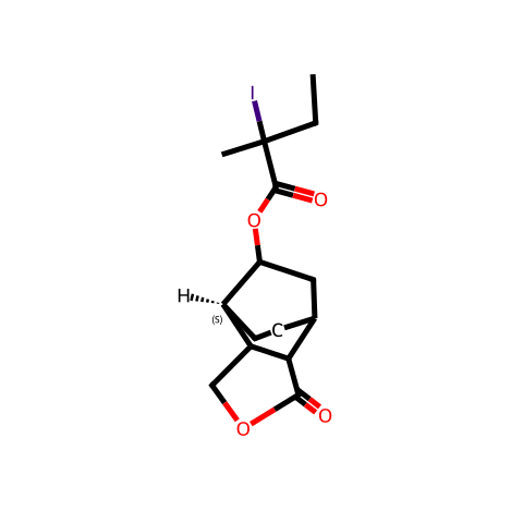 CCC(C)(I)C(=O)OC1CC2CC[C@H]1C1COC(=O)C21